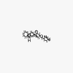 O=c1cc(OCc2ccc(F)cn2)ccn1-c1ccc2c3c([nH]c2c1)CCCCC3